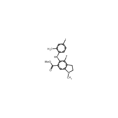 COC(=O)c1cc2c(c(F)c1Nc1ccc(I)cc1C)CCN2C